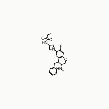 CCS(=O)(=O)NC1CN(c2cc3c(cc2F)OCC(NC)C3Cc2ccccc2)C1